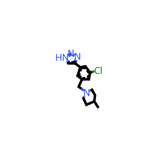 CC1CCN(Cc2cc(Cl)cc(-c3c[nH]nn3)c2)CC1